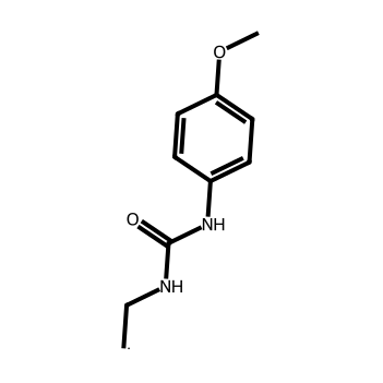 [CH2]CNC(=O)Nc1ccc(OC)cc1